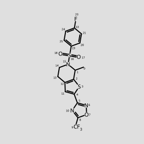 CC1c2sc(-c3noc(C(F)(F)F)n3)cc2CCN1S(=O)(=O)c1ccc(F)cc1